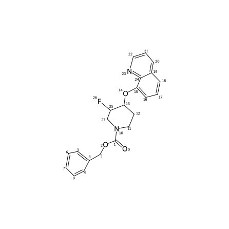 O=C(OCc1ccccc1)N1CCC(Oc2cccc3cccnc23)C(F)C1